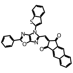 O=C1C(=Cc2nc3oc(-c4ccccc4)nc3n2-c2cc3ccccc3s2)C(=O)c2cc3ccccc3cc21